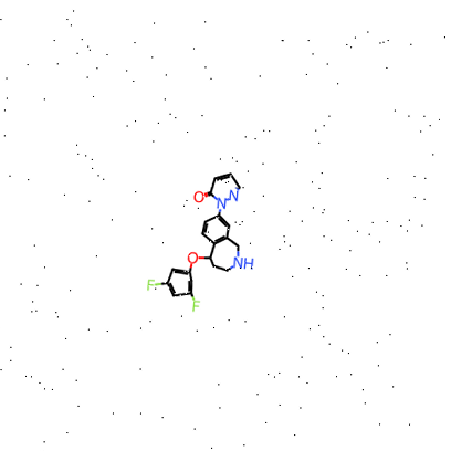 O=c1cccnn1-c1ccc2c(c1)CNCCC2Oc1cc(F)cc(F)c1